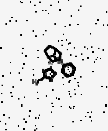 Cc1noc([C@@H]2C3CCC(C[C@@H]2c2ccccc2)N3C)n1